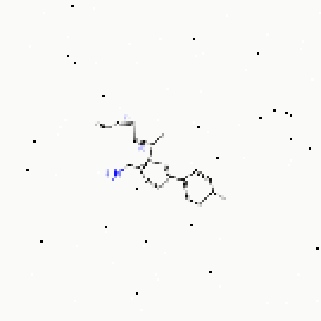 C=C/C=C\C=C(/C)c1cc(C2=CCC(C)C=C2)ccc1CN